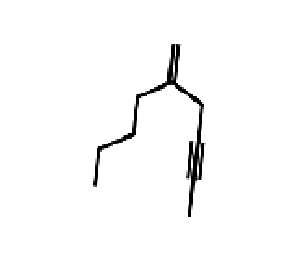 [CH]=C(CC#CC)CCCC